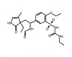 CCNC(=O)NS(=O)(=O)c1cc(C(CC2(CC)C(=O)NC=C2C)NC=O)ccc1OCC